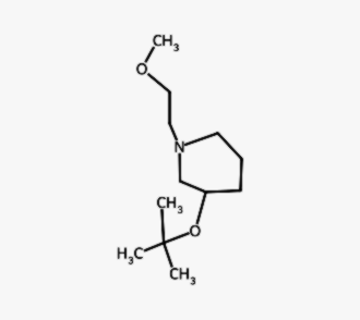 COCCN1CCCC(OC(C)(C)C)C1